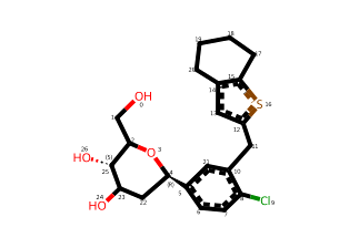 OCC1O[C@@H](c2ccc(Cl)c(Cc3cc4c(s3)CCCC4)c2)CC(O)[C@@H]1O